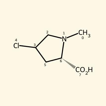 CN1CC(Cl)C[C@H]1C(=O)O